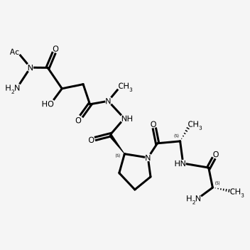 CC(=O)N(N)C(=O)C(O)CC(=O)N(C)NC(=O)[C@@H]1CCCN1C(=O)[C@H](C)NC(=O)[C@H](C)N